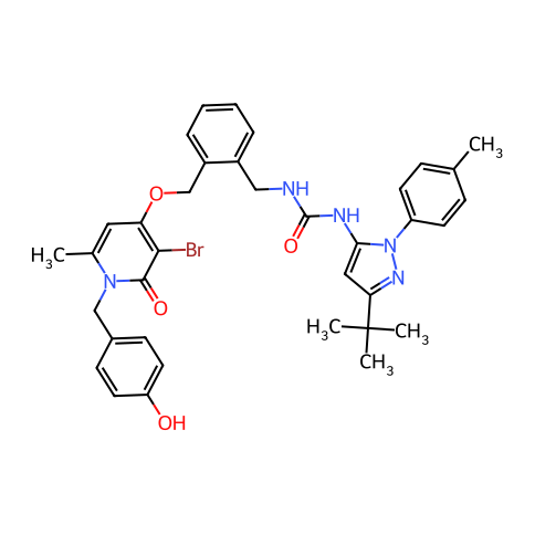 Cc1ccc(-n2nc(C(C)(C)C)cc2NC(=O)NCc2ccccc2COc2cc(C)n(Cc3ccc(O)cc3)c(=O)c2Br)cc1